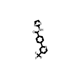 O=C(Nc1nccs1)c1ccc(-c2cc(C(F)(F)F)ccn2)cc1